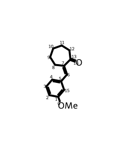 COc1cccc(/C=C2\CCCCCC2=O)c1